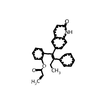 C=CC(=O)Oc1ccccc1/C(=C(\CC)c1ccccc1)c1ccc2[nH]c(=O)ccc2c1